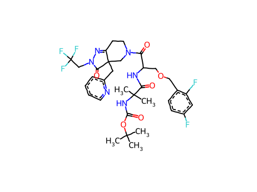 CC(C)(C)OC(=O)NC(C)(C)C(=O)NC(COCc1ccc(F)cc1F)C(=O)N1CCC2=NN(CC(F)(F)F)C(=O)C2(Cc2ccccn2)C1